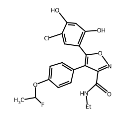 CCNC(=O)c1noc(-c2cc(Cl)c(O)cc2O)c1-c1ccc(OC(C)F)cc1